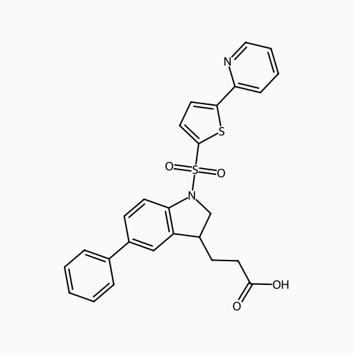 O=C(O)CCC1CN(S(=O)(=O)c2ccc(-c3ccccn3)s2)c2ccc(-c3ccccc3)cc21